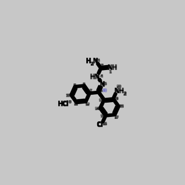 Cl.N=C(N)N/N=C(\c1ccccc1)c1cc(Cl)ccc1N